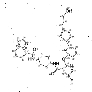 O=C(NC1CCC(NC(=O)c2cccc3[nH]cnc23)CC1)c1cc(F)cnc1Oc1cccc(-c2ccc(CCCO)cc2)c1